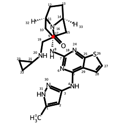 Cc1cc(Nc2nc(N[C@@H]3C[C@H]4CC[C@@H](C3)N4C(=O)CNC3CC3)nc3sccc23)n[nH]1